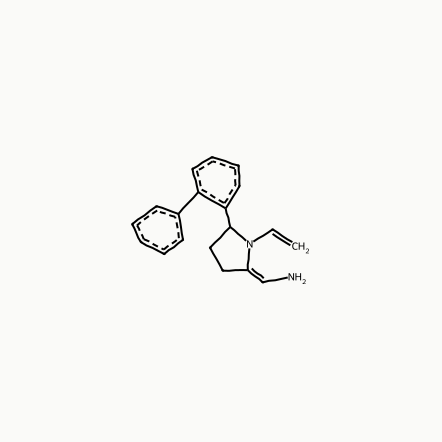 C=CN1/C(=C\N)CCC1c1ccccc1-c1ccccc1